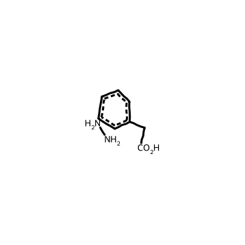 NN.O=C(O)Cc1ccccc1